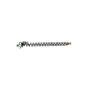 C[Si](C)(Cl)CCCCCCCCCCCCCCCCCCCCCCCCCCCCCCCCCS